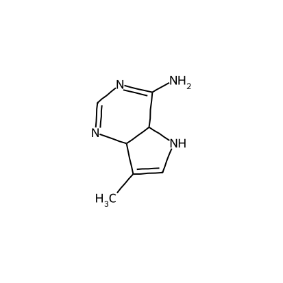 CC1=CNC2C(N)=NC=NC12